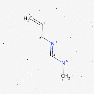 C=CC/N=C/N=C